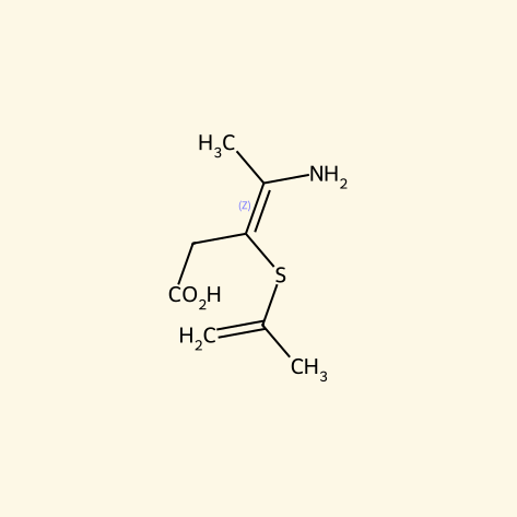 C=C(C)S/C(CC(=O)O)=C(/C)N